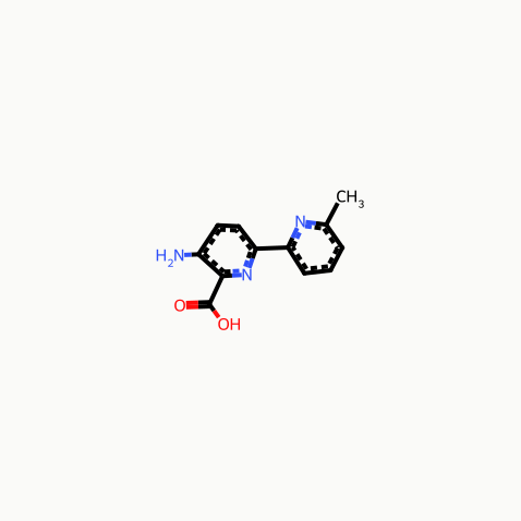 Cc1cccc(-c2ccc(N)c(C(=O)O)n2)n1